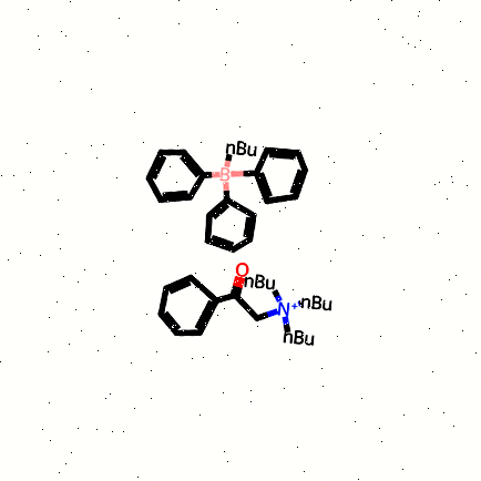 CCCC[B-](c1ccccc1)(c1ccccc1)c1ccccc1.CCCC[N+](CCCC)(CCCC)CC(=O)c1ccccc1